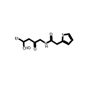 CCC(C=O)CC(=O)CNC(=O)Cc1cccs1